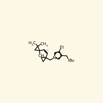 CCc1cn(CC2(/C=C\C3(C)CC3(C)C)CC2)cc1CC(C)(C)C